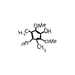 CCCc1c(C)c(OC)c(O)c(OC)c1C